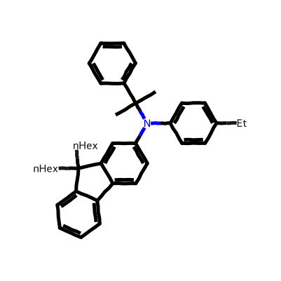 CCCCCCC1(CCCCCC)c2ccccc2-c2ccc(N(c3ccc(CC)cc3)C(C)(C)c3ccccc3)cc21